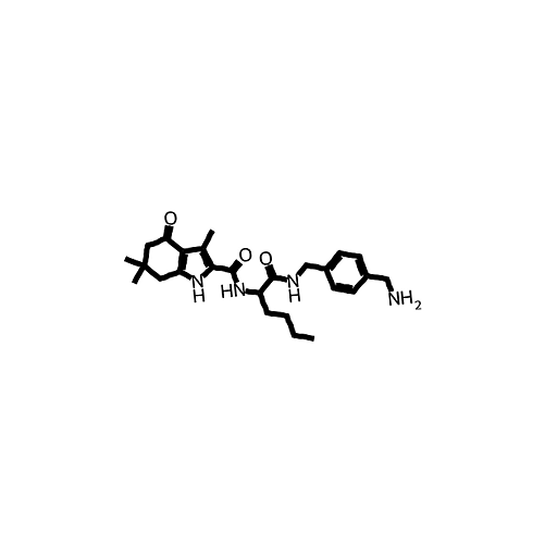 CCCCC(NC(=O)c1[nH]c2c(c1C)C(=O)CC(C)(C)C2)C(=O)NCc1ccc(CN)cc1